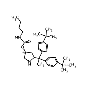 CCCCNC(=O)O[C@@H]1CNC(C(C)(c2ccc(C(C)(C)C)cc2)c2ccc(C(C)(C)C)cc2)C1